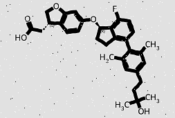 Cc1cc(CCC(C)(C)O)cc(C)c1-c1ccc(F)c2c1CC[C@H]2Oc1ccc2c(c1)OC[C@H]2CC(=O)O